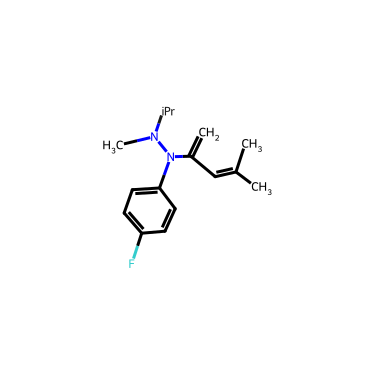 C=C(C=C(C)C)N(c1ccc(F)cc1)N(C)C(C)C